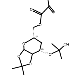 C=C(C)C(=O)OC[C@@H]1C[C@H](OC(C)(C)O)C2OC(C)(C)OC2O1